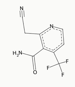 N#CCc1nccc(C(F)(F)F)c1C(N)=O